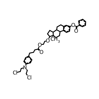 C[C@]12CCC3c4ccc(OC(=O)c5ccccc5)cc4CCC3C1CCC2OCCOC(=O)CCCc1ccc(N(CCCl)CCCl)cc1